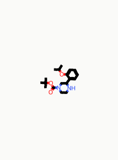 CC(C)Oc1ccccc1C1CN(C(=O)OC(C)(C)C)CCN1